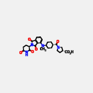 CN(c1cccc2c1C(=O)N(C1CCC(=O)NC1=O)C2=O)[C@H]1CC[C@H](C(=O)N2CC[C@@H](C(=O)O)C2)CC1